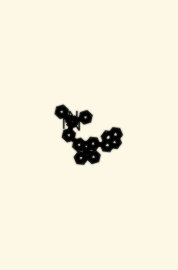 c1ccc(-c2nc(-c3ccccc3)nc(-c3cccc(-c4ccc5c(c4)-c4ccc(-c6ccc7ccc8cccc9ccc6c7c89)cc4C5(c4ccccc4)c4ccccc4)c3)n2)cc1